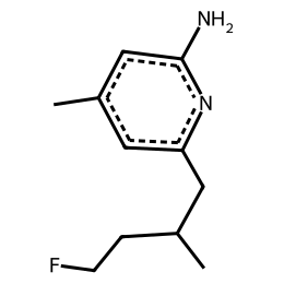 Cc1cc(N)nc(CC(C)CCF)c1